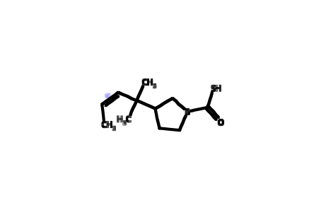 C/C=C\C(C)(C)C1CCB(C(=O)S)C1